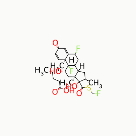 CCCCC(=O)O.C[C@@H]1C[C@H]2[C@@H]3C[C@H](F)C4=CC(=O)C=C[C@]4(C)[C@@]3(F)[C@@H](O)C[C@]2(C)[C@@]1(O)C(=O)SCF